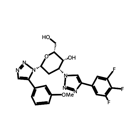 COc1cccc(-c2cnnn2[C@H]2C[C@@H](n3cc(-c4cc(F)c(F)c(F)c4)nn3)[C@@H](O)[C@@H](CO)O2)c1